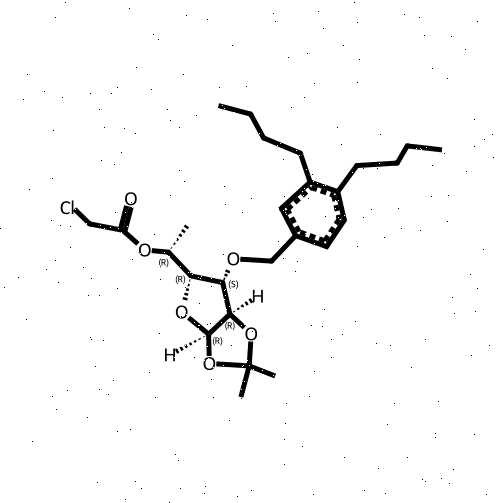 CCCCc1ccc(CO[C@@H]2[C@H]3OC(C)(C)O[C@H]3O[C@@H]2[C@@H](C)OC(=O)CCl)cc1CCCC